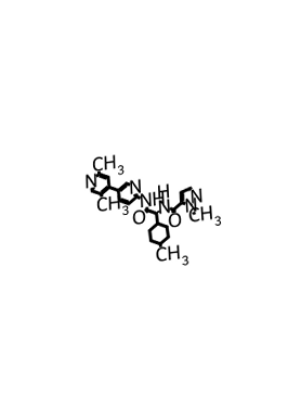 Cc1cc(-c2ccc(NC(=O)[C@@H](NC(=O)c3ccnn3C)C3CCC(C)CC3)nc2)c(C)cn1